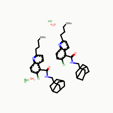 CNCCCc1ccc2c(C(=O)NCC34CC5CC(CC(C5)C3)C4)c(Cl)ccc2n1.CNCCCc1ccc2c(C(=O)NCC34CC5CC(CC(C5)C3)C4)c(Cl)ccc2n1.Cl.Cl.Cl.O.O